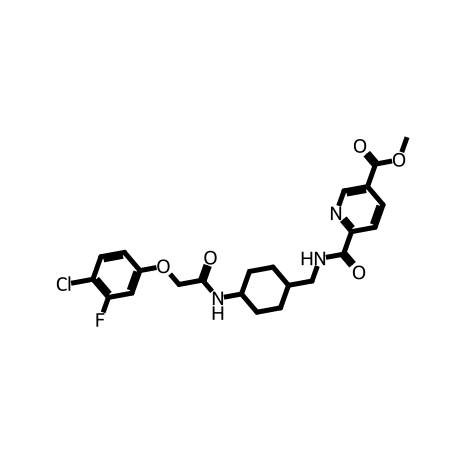 COC(=O)c1ccc(C(=O)NCC2CCC(NC(=O)COc3ccc(Cl)c(F)c3)CC2)nc1